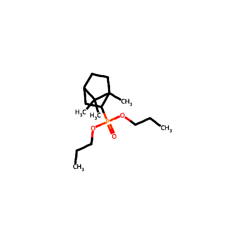 CCCOP(=O)(OCCC)C1CC2CCC1(C)C2(C)C